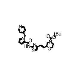 CC(C)(C)OC(=O)N1CCOC(/C=C/c2csc(NC(=O)c3cccn3Cc3ccncc3)n2)C1